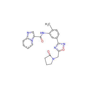 Cc1ccc(-c2noc(CN3CCCC3=O)n2)cc1NC(=O)c1cnc2ccccn12